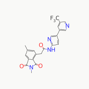 Cc1cc(CC(=O)Nc2ccc(-c3cncc(C(F)(F)F)c3)cn2)c2c(c1)C(=O)N(C)C2=O